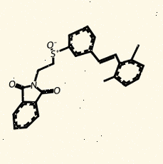 Cc1cccc(C)c1/C=C/c1cccc([S+]([O-])CCN2C(=O)c3ccccc3C2=O)c1